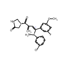 C=C(/C=C(/c1cc(F)cc(OC)c1)N(N)c1cccc(Cl)c1)C(=O)N1CNC(=O)C1